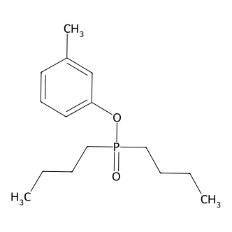 CCCCP(=O)(CCCC)Oc1cccc(C)c1